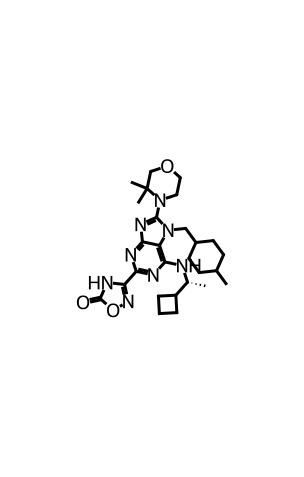 CC1CCC(Cn2c(N3CCOCC3(C)C)nc3nc(-c4noc(=O)[nH]4)nc(N[C@H](C)C4CCC4)c32)CC1